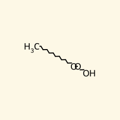 CCCCCCCCCCCCOOCCO